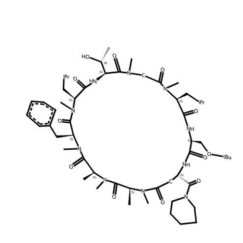 CC(C)C[C@H]1C(=O)N[C@@H](COC(C)(C)C)C(=O)N[C@H](C(=O)N2CCCCC2)CC(=O)N(C)[C@@H](C)C(=O)N(C)[C@@H](C)C(=O)N(C)[C@@H](Cc2ccccc2)C(=O)N(C)[C@@H](CC(C)C)C(=O)N[C@@H]([C@@H](C)O)C(=O)N(C)CC(=O)N1C